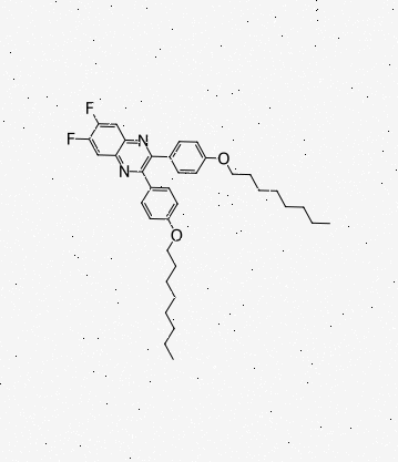 CCCCCCCCOc1ccc(-c2nc3cc(F)c(F)cc3nc2-c2ccc(OCCCCCCCC)cc2)cc1